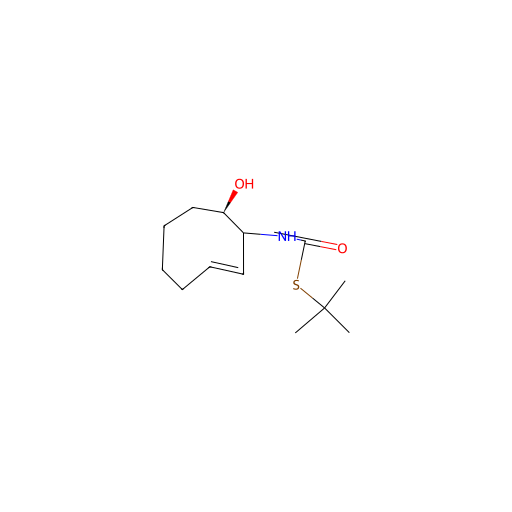 CC(C)(C)SC(=O)NC1/C=C/CCCC[C@H]1O